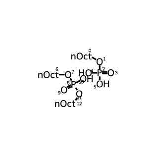 CCCCCCCCOP(=O)(O)O.CCCCCCCCOP(=O)(O)OCCCCCCCC